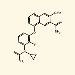 COc1cc2nccc(Oc3cccc(N(C(N)=O)C4CC4)c3F)c2cc1C(N)=O